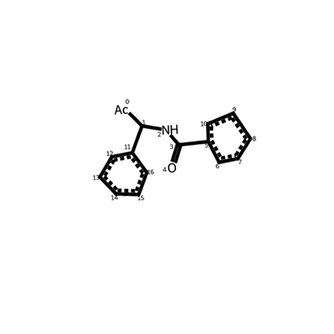 CC(=O)C(NC(=O)c1ccccc1)c1ccccc1